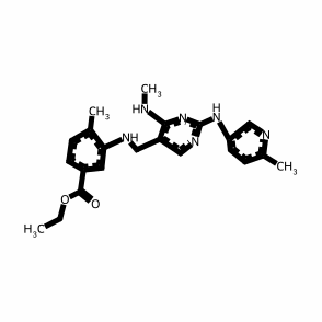 CCOC(=O)c1ccc(C)c(NCc2cnc(Nc3ccc(C)nc3)nc2NC)c1